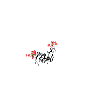 C.C.C.C.CCCC.CCCC.CCCC.CCCC.O=P(O)(O)O.O=P(O)(O)O